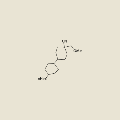 CCCCCCC1CCC(C2CCC(C#N)(COC)CC2)CC1